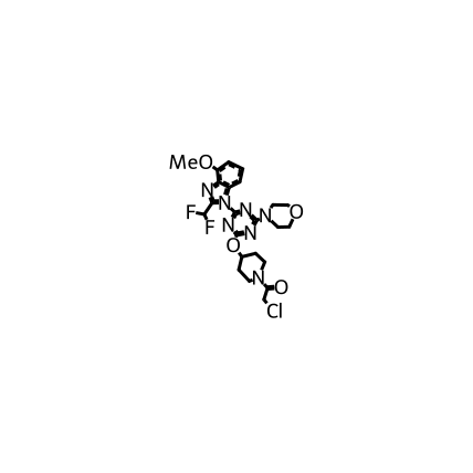 COc1cccc2c1nc(C(F)F)n2-c1nc(OC2CCN(C(=O)CCl)CC2)nc(N2CCOCC2)n1